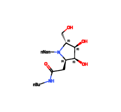 CCCCCCCCCN1[C@H](CC(=O)NCCCC)[C@H](O)[C@H](O)[C@H]1CO